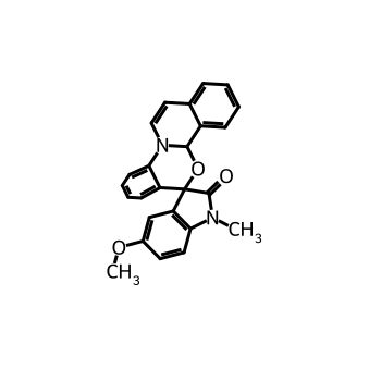 COc1ccc2c(c1)C1(OC3c4ccccc4C=CN3c3ccccc31)C(=O)N2C